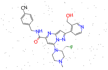 CN1CCN(c2cc(C(=O)NCc3ccc(C#N)cc3)nc3cc(-c4ccncc4CO)nn23)[C@H](CF)C1